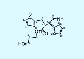 O=C(OCCCO)N(Cc1cccs1)c1snc2ccsc12